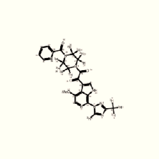 [2H]c1nc(C([2H])([2H])[2H])nn1-c1ncc(OC)c2c(C(=O)C(=O)N3C([2H])([2H])C([2H])([2H])N(C(=O)c4ccccn4)C([2H])([2H])C3([2H])[2H])c[nH]c12